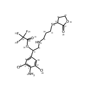 Nc1c(Cl)cc(C(CNCCCSC2CCOC2=O)OC(=O)C(F)(F)F)cc1Cl